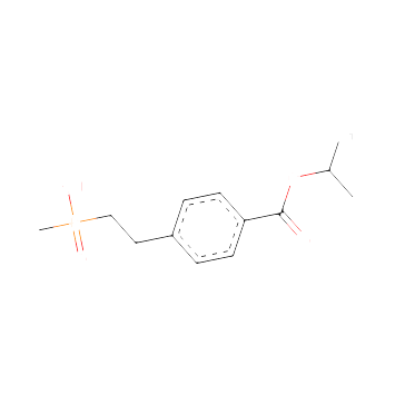 CC(C)C(C)OC(=O)c1ccc(CCP(C)(=O)O)cc1